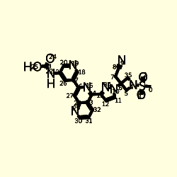 CS(=O)(=O)N1CC(CC#N)(n2ccc(-c3nc(-c4cncc(NC(=O)O)c4)cc4ncccc34)n2)C1